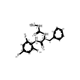 CC(C)(C)NC(=O)N[C@@H](Cc1ccccc1)C(=O)Nc1c(F)cc(F)cc1F